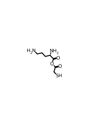 NCCC[C@@H](N)C(=O)OC(=O)CS